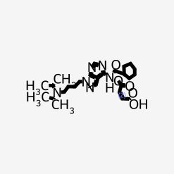 CC(C)N(CCCCn1ncc2c(NC(=O)C3(OC(=O)/C=C\C(=O)O)CCCCC3)ncnc21)C(C)C